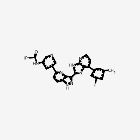 Cc1cc(F)cc(-c2ccnc3[nH]c(-c4n[nH]c5ccc(-c6cncc(NC(=O)C(C)C)c6)nc45)nc23)c1